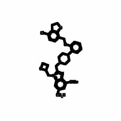 COc1cc(C(=O)O)cc2c1nc(CN1CCC(c3ccccc3OCc3ccc(Cl)c4c3OCC4)CC1)n2CC1CCO1